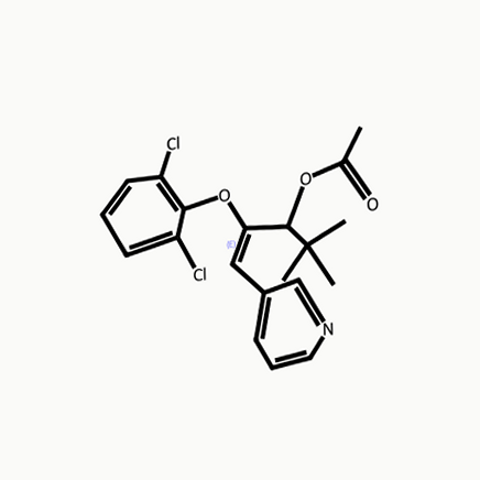 CC(=O)OC(/C(=C\c1cccnc1)Oc1c(Cl)cccc1Cl)C(C)(C)C